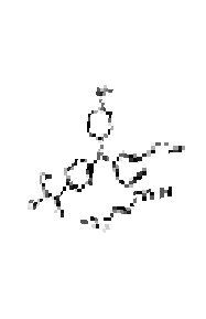 CCCN1CCC(N(c2ccc(C(=O)N(CC)CC)cc2)c2cccc(OC)c2)CC1.O=C(O)/C=C/C(=O)O